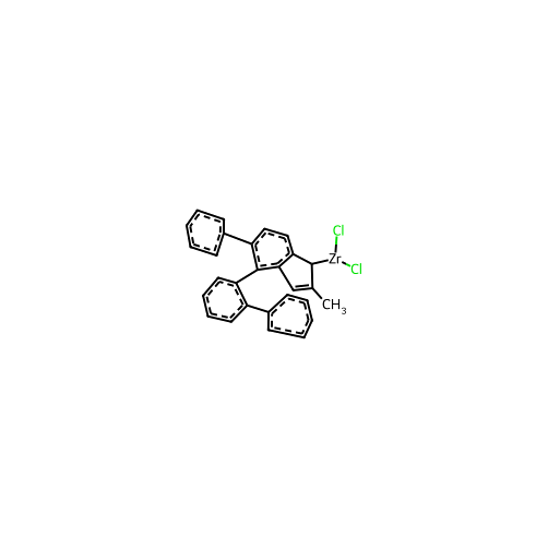 CC1=Cc2c(ccc(-c3ccccc3)c2-c2ccccc2-c2ccccc2)[CH]1[Zr]([Cl])[Cl]